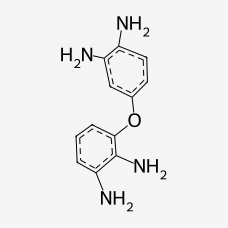 Nc1ccc(Oc2cccc(N)c2N)cc1N